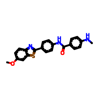 CNc1ccc(C(=O)Nc2ccc(-c3nc4ccc(OC)cc4s3)cc2)cc1